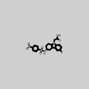 O=C(O)Cn1c2c(c3cc(F)ccc31)C[C@@H](NS(=O)(=O)c1ccc([N+](=O)[O-])cc1)CC2